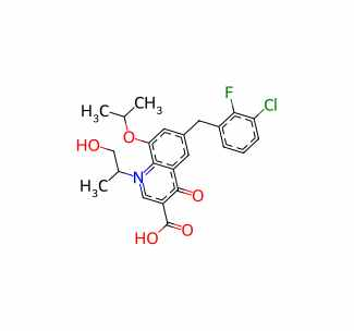 CC(C)Oc1cc(Cc2cccc(Cl)c2F)cc2c(=O)c(C(=O)O)cn(C(C)CO)c12